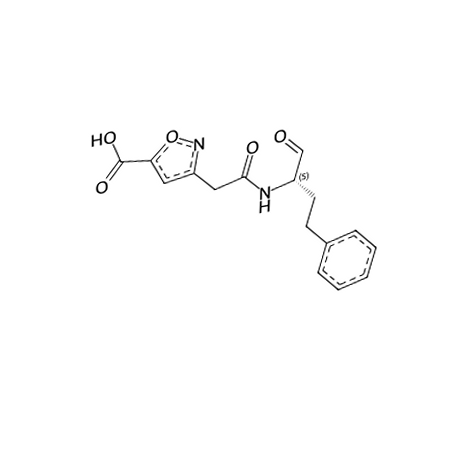 O=C[C@H](CCc1ccccc1)NC(=O)Cc1cc(C(=O)O)on1